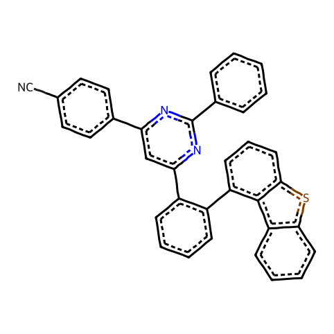 N#Cc1ccc(-c2cc(-c3ccccc3-c3cccc4sc5ccccc5c34)nc(-c3ccccc3)n2)cc1